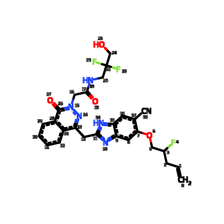 C=CCC(F)COc1cc2nc(Cc3nn(CC(=O)NCC(F)(F)CO)c(=O)c4ccccc34)[nH]c2cc1C#N